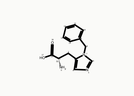 N[C@@H](Cc1cncn1Cc1ccccc1)C(=O)O